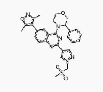 Cc1noc(C)c1-c1ccc2nc(-c3cnn(CS(C)(=O)=O)c3)nc(N3CCOCC3c3ccccc3)c2c1